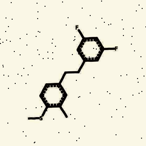 CSc1ccc(CCc2cc(F)cc(F)c2)cc1C